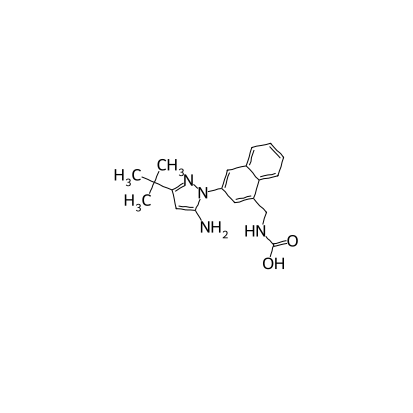 CC(C)(C)c1cc(N)n(-c2cc(CNC(=O)O)c3ccccc3c2)n1